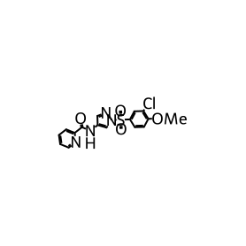 COc1ccc(S(=O)(=O)n2cc(NC(=O)c3ccccn3)cn2)cc1Cl